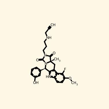 C#CCNCCCN1C(=O)N2[C@H](c3cccc(O)c3)c3[nH]c4ccc(OC)c(F)c4c3C[C@@]2(C)C1=O